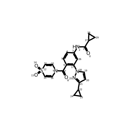 O=C(Nc1ccc(C(=O)N2C=CS(=O)(=O)C=C2)c(-n2ccc(C3CC3)n2)c1)C1CC1